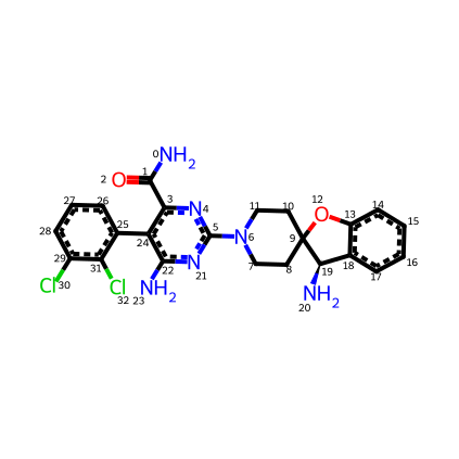 NC(=O)c1nc(N2CCC3(CC2)Oc2ccccc2[C@H]3N)nc(N)c1-c1cccc(Cl)c1Cl